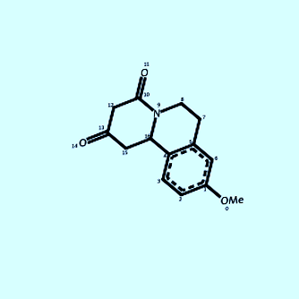 COc1ccc2c(c1)CCN1C(=O)CC(=O)CC21